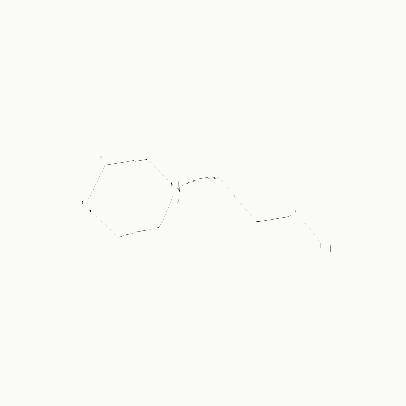 CCSCCN1CCNCC1